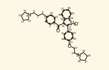 O=C(c1ccc(CCCN2CCCC2)cc1)c1c(-c2ccc(OCCN3CCCC3)cc2)[s+]([O-])c2ccccc12